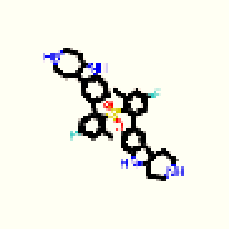 Cc1cc(F)cc(-c2ccc3c(c2)C2CCNCCC2N3)c1S(=O)(=O)c1c(C)cc(F)cc1-c1ccc2c(c1)C1CCNCCC1N2